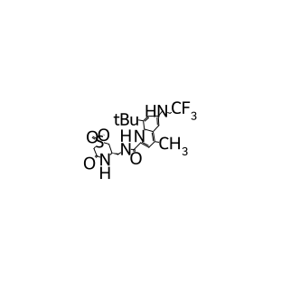 Cc1cc(C(=O)NC[C@@H]2CS(=O)(=O)CC(=O)N2)nc2c(C(C)(C)C)cc(NCC(F)(F)F)cc12